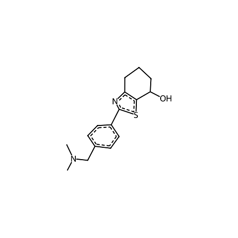 CN(C)Cc1ccc(-c2nc3c(s2)C(O)CCC3)cc1